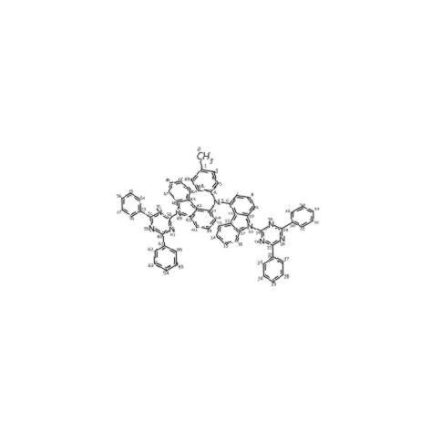 Cc1ccc(N(c2cccc3c2c2ccccc2n3-c2nc(-c3ccccc3)nc(-c3ccccc3)n2)c2cccc3c2c2ccccc2n3-c2nc(-c3ccccc3)nc(-c3ccccc3)n2)cc1